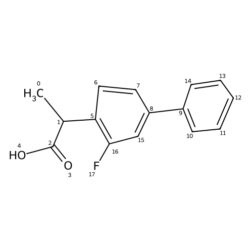 CC(C(=O)O)c1ccc(-c2ccccc2)cc1F